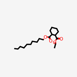 CCCCCCCCCCOC(=O)C1CCCCC1C(=O)OCC